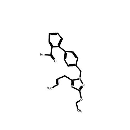 C/C=C/Cc1nc(OCC)nn1Cc1ccc(-c2ccccc2C(=O)O)cc1